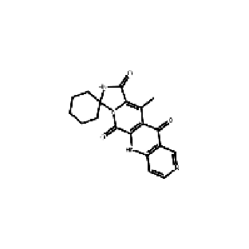 Cc1c2n(c(=O)c3[nH]c4ccncc4c(=O)c13)C1(CCCCC1)NC2=O